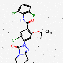 C[C@H](Oc1cc(-n2nc3n(c2=O)CCCC3)c(Cl)cc1C(=O)Nc1c(F)cccc1F)C(F)(F)F